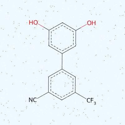 N#Cc1cc(-c2cc(O)cc(O)c2)cc(C(F)(F)F)c1